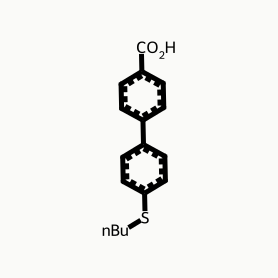 CCCCSc1ccc(-c2ccc(C(=O)O)cc2)cc1